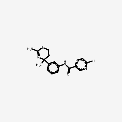 CC1(c2cccc(NC(=O)c3cnc(Cl)cn3)c2)CCSC(N)=N1